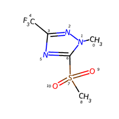 Cn1nc(C(F)(F)F)nc1S(C)(=O)=O